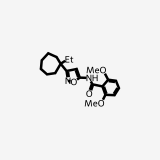 CCC1(c2cc(NC(=O)c3c(OC)cccc3OC)on2)CCCCCC1